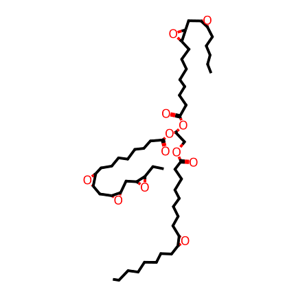 CCCCCCCCC1OC1CCCCCCCC(=O)OCC(OC(=O)CCCCCCCC1OC1CC1OC1CCCCC)OC(=O)CCCCCCCC1OC1CC1OC1CC1OC1CC